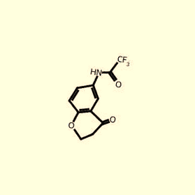 O=C1CCOc2ccc(NC(=O)C(F)(F)F)cc21